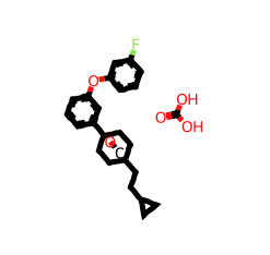 Fc1cccc(Oc2cccc(C34CCC(CCC5CC5)(CC3)CO4)c2)c1.O=C(O)O